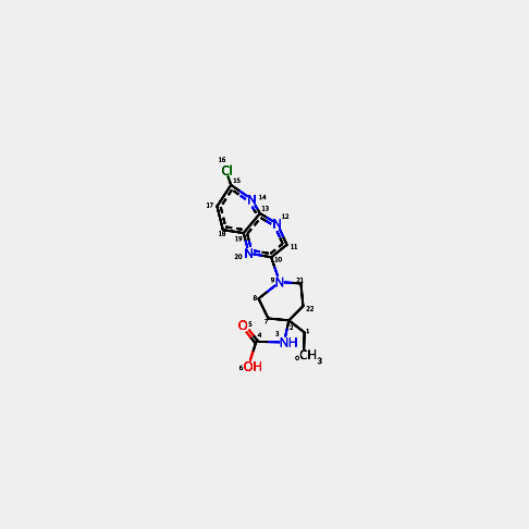 CCC1(NC(=O)O)CCN(c2cnc3nc(Cl)ccc3n2)CC1